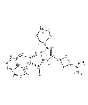 CN(C)C1CN(c2nc(C3CCNCC3)c3cc(Cl)c(-c4cccc5ccccc45)c(F)c3n2)C1